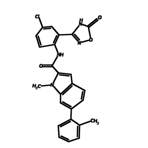 Cc1ccccc1-c1ccc2cc(C(=O)Nc3ccc(Cl)cc3-c3noc(=O)[nH]3)n(C)c2c1